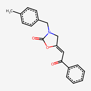 Cc1ccc(CN2CC(=CC(=O)c3ccccc3)OC2=O)cc1